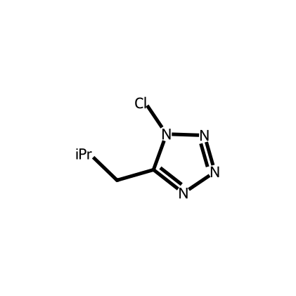 CC(C)Cc1nnnn1Cl